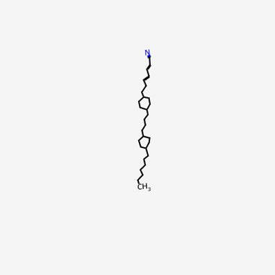 CCCCCCCC1CCC(CCCCC2CCC(CCC=CC=CC#N)CC2)CC1